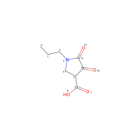 CCCN1CC(C(=O)O)C(=O)C1=O